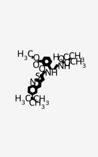 CCOC(=O)c1cccc([C@@H](CCNC(=O)OC(C)(C)C)NC(=O)c2cc3cc4c(nc3s2)CC[C@H](C(C)(C)C)C4)c1